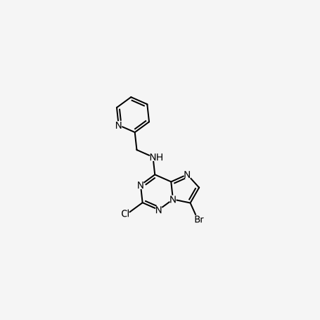 Clc1nc(NCc2ccccn2)c2ncc(Br)n2n1